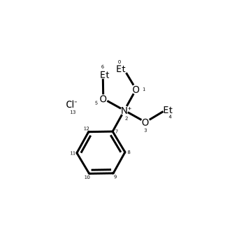 CCO[N+](OCC)(OCC)c1ccccc1.[Cl-]